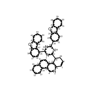 C1=Cc2ncc3c(ccc4ccccc43)c2C(c2nc(-c3ccc4c(c3)oc3ccccc34)nc(-c3cccc4oc5ccccc5c34)n2)C1